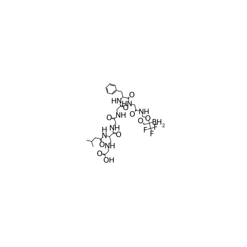 BC(C=O)(OCNC(=O)CNC(=O)C(Cc1ccccc1)NC(=O)CNC(=O)CNC(=O)C(CNCC(=O)O)NC(=O)CC(C)C)C(F)(F)F